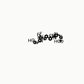 Cc1c(-c2nc3cc(CN4CC[C@@H](C(=O)O)C4)cnc3o2)cccc1-c1cccc2c1CCN2c1nc(C(F)F)nc2cc(CN3CC[C@@H](O)C3)cnc12